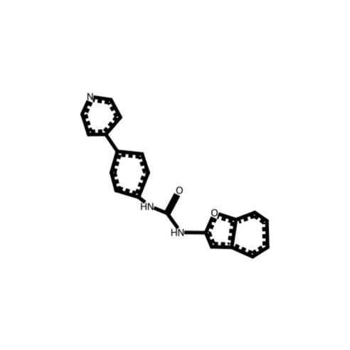 O=C(Nc1ccc(-c2ccncc2)cc1)Nc1cc2ccccc2o1